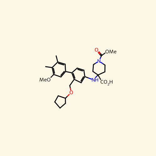 COC(=O)N1CCC(Nc2ccc(-c3cc(C)c(C)c(OC)c3)c(COC3CCCC3)c2)(C(=O)O)CC1